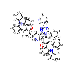 C=C/C=C\C(=C/C)c1nc(-c2ccccc2)nc(-c2cc(-c3cccc4c3oc3ccc5c6ccccc6n(-c6ccccc6)c5c34)cnc2-c2cccc3c2oc2ccc4c5ccccc5n(-c5ccccc5)c4c23)n1